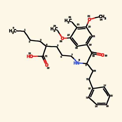 CCCCC(CCCNC(CCc1ccccc1)C(=O)c1cc(OC)c(C)c(OC)c1)C(=O)O